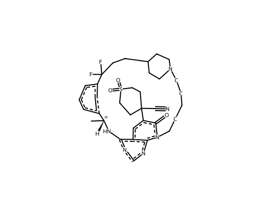 C[C@H]1Nc2ncnc3c2cc(C2(C#N)CCS(=O)(=O)CC2)c(=O)n3CCCCCN2CCC(CC2)CCC(F)(F)c2cccc1c2